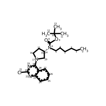 CCCCCCN(C(=O)OC(C)(C)C)[C@H]1CCN(c2nc(Cl)nc3ccccc23)C1